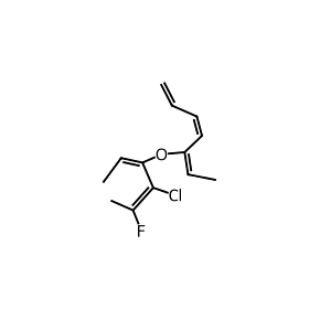 C=C/C=C\C(=C/C)OC(=C/C)/C(Cl)=C(\C)F